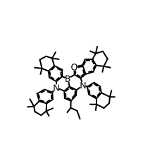 CCC(C)c1cc2c3c(c1)N(c1ccc4c(c1)C(C)(C)CCC4(C)C)c1c(oc4cc5c(cc14)C(C)(C)CCC5(C)C)B3c1cc3c(cc1N2c1ccc2c(c1)C(C)(C)CCC2(C)C)C(C)(C)CCC3(C)C